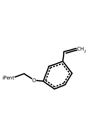 C=Cc1cccc(OCC(C)CCC)c1